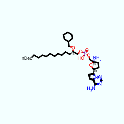 CCCCCCCCCCCCCCCCCCCC[C@H](COP(=O)(O)OC[C@]1(N)CC[C@H](c2ccc3c(N)ncnn23)O1)OCC1CCCCC1